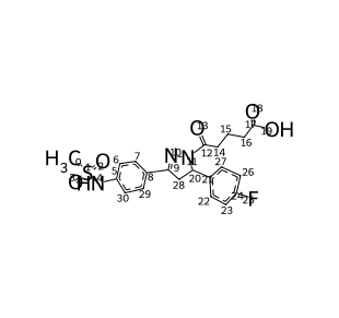 CS(=O)(=O)Nc1ccc(C2=NN(C(=O)CCCC(=O)O)C(c3ccc(F)cc3)C2)cc1